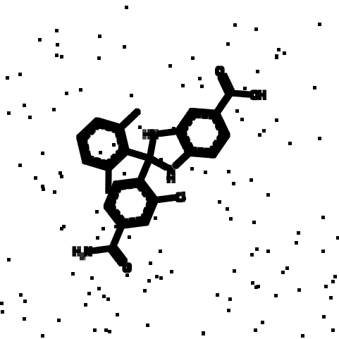 Cc1cccc(C)c1C1(c2ccc(C(N)=O)cc2Cl)Nc2ccc(C(=O)O)cc2N1